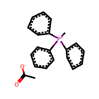 CC(=O)[O-].C[P+](c1ccccc1)(c1ccccc1)c1ccccc1